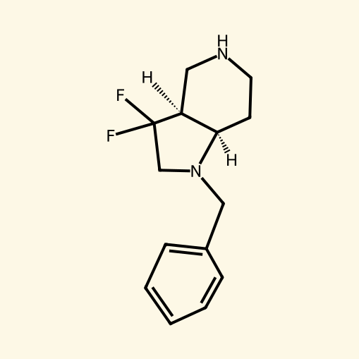 FC1(F)CN(Cc2ccccc2)[C@@H]2CCNC[C@@H]21